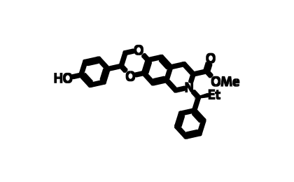 CC[C@@H](c1ccccc1)N1Cc2cc3c(cc2CC1C(=O)OC)OCC(c1ccc(O)cc1)O3